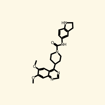 COc1cc2ncnc(C3CCN(C(=O)Nc4ccc5c(c4)CCN5)CC3)c2cc1OC